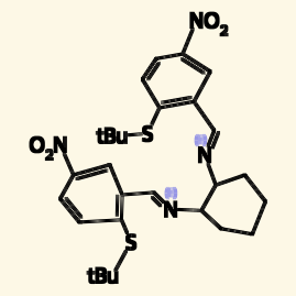 CC(C)(C)Sc1ccc([N+](=O)[O-])cc1/C=N/C1CCCCC1/N=C/c1cc([N+](=O)[O-])ccc1SC(C)(C)C